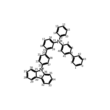 c1ccc(-c2ccc(N(c3ccccc3)c3cccc(-c4ccc(-n5c6ccccc6c6ccccc65)cc4)c3)cc2)cc1